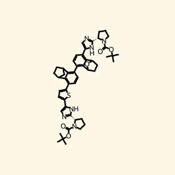 CC(C)(C)OC(=O)N1CCC[C@H]1c1ncc(-c2ccc(-c3ccc(-c4ccc(-c5cnc([C@@H]6CCCN6C(=O)OC(C)(C)C)[nH]5)c5c4C4CCC5O4)c4c3C3CCC4C3)s2)[nH]1